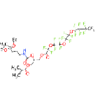 C=C(C)C(=O)OCC(COC(=O)C(F)(F)OC(F)(F)C(F)(F)OC(F)(F)C(F)(F)OC(F)(F)C(F)(F)C(F)(F)C(F)(F)F)OC(=O)NCCC[Si](C)(OCC)OCC